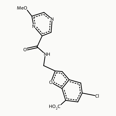 COc1cncc(C(=O)NCc2cc3cc(Cl)cc(C(=O)O)c3o2)n1